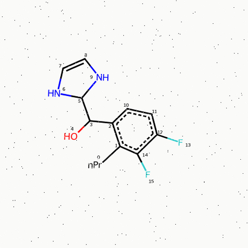 CCCc1c(C(O)C2NC=CN2)ccc(F)c1F